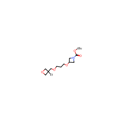 CCC1(COCCCOC2CN(C(=O)OC(C)(C)C)C2)COC1